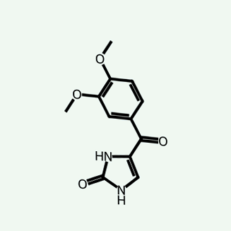 COc1ccc(C(=O)c2c[nH]c(=O)[nH]2)cc1OC